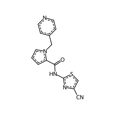 N#Cc1csc(NC(=O)c2cccn2Cc2ccncc2)n1